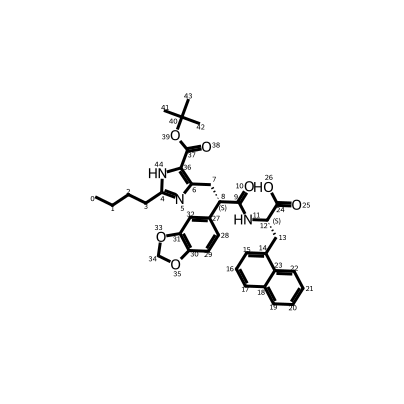 CCCCc1nc(C[C@H](C(=O)N[C@@H](Cc2cccc3ccccc23)C(=O)O)c2ccc3c(c2)OCO3)c(C(=O)OC(C)(C)C)[nH]1